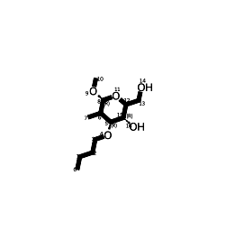 CCCCO[C@@H]1C(C)[C@H](OC)OC(CO)[C@@H]1O